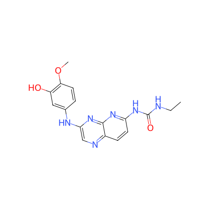 CCNC(=O)Nc1ccc2ncc(Nc3ccc(OC)c(O)c3)nc2n1